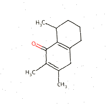 CC1=C(C)C(=O)C2=C(CCCC2C)C1